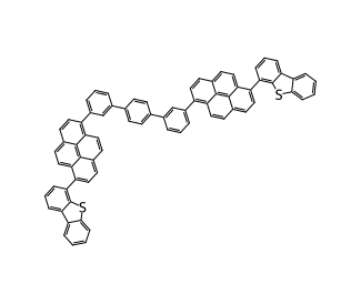 c1cc(-c2ccc(-c3cccc(-c4ccc5ccc6c(-c7cccc8c7sc7ccccc78)ccc7ccc4c5c76)c3)cc2)cc(-c2ccc3ccc4c(-c5cccc6c5sc5ccccc56)ccc5ccc2c3c54)c1